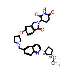 CO[C@H]1CC[C@@H](c2ccc3cc(CN4CC[C@H](Oc5ccc6c(c5)CN(C5CCC(=O)NC5=O)C6=O)C4)ccc3n2)C1